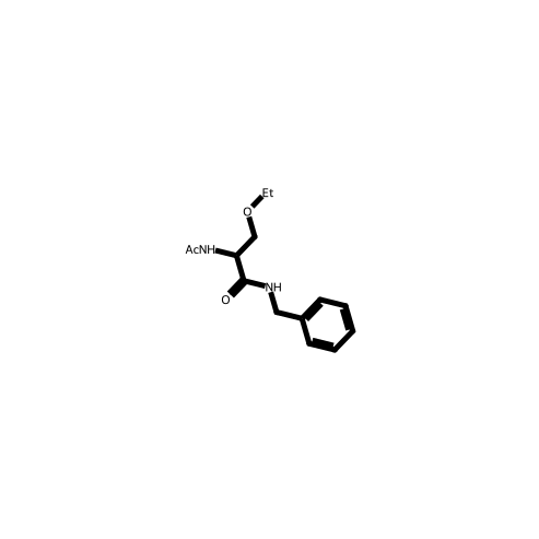 CCOCC(NC(C)=O)C(=O)NCc1ccccc1